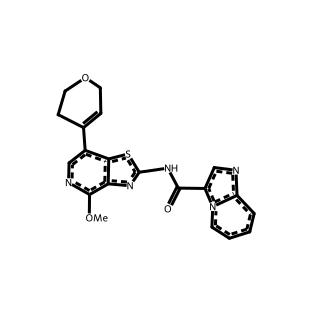 COc1ncc(C2=CCOCC2)c2sc(NC(=O)c3cnc4ccccn34)nc12